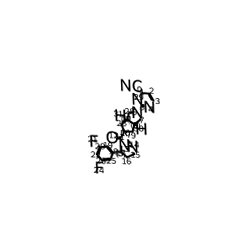 N#Cc1ccnc(N2C[C@H]3C[C@@H](C(=O)N4N=CC[C@H]4c4cc(F)cc(F)c4)C[C@H]3C2)n1